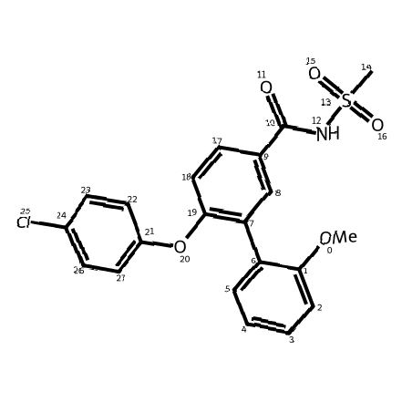 COc1ccccc1-c1cc(C(=O)NS(C)(=O)=O)ccc1Oc1ccc(Cl)cc1